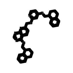 c1ccc2c(c1)CCCC2COc1ccnc(OCc2ccc3c(OCC4CCCc5ccccc54)ncnc3n2)c1